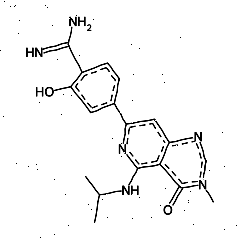 CC(C)Nc1nc(-c2ccc(C(=N)N)c(O)c2)cc2ncn(C)c(=O)c12